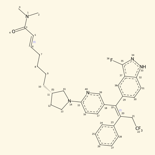 CN(C)C(=O)/C=C/CCCC[C@H]1CCN(c2ccc(/C(=C(/CC(F)(F)F)c3ccccc3)c3ccc4[nH]nc(F)c4c3)cn2)C1